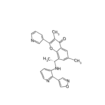 Cc1cc([C@@H](C)Nc2cccnc2-c2cnoc2)c2oc(-c3cccnc3)c(C)c(=O)c2c1